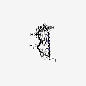 CC(C)=CCC/C(C)=C/CC/C(C)=C/CC/C(C)=C/COP(=O)(O)OP(=O)(O)O.CC(C)=CCCC(C)=CCCC(C)=CCOP(=O)(O)OP(=O)(O)O